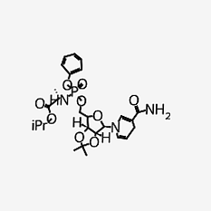 CC(C)OC(=O)[C@H](C)NP(=O)(OCC1O[C@@H](N2C=CCC(C(N)=O)=C2)[C@@H]2OC(C)(C)O[C@H]12)Oc1ccccc1